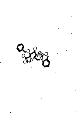 Cc1ccccc1N(Cc1cc(=O)c(OCc2ccccc2)c(C(=O)O)n1C)[SH](=O)=O